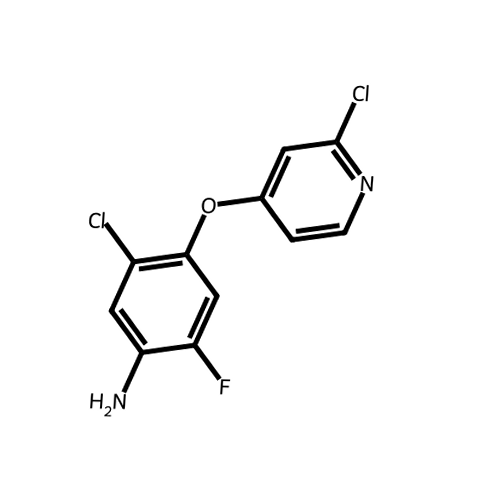 Nc1cc(Cl)c(Oc2ccnc(Cl)c2)cc1F